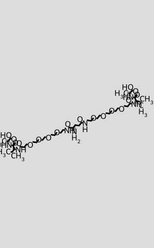 CC(C)[C@H](NC(=O)CCOCCOCCOCCOCCNC(=O)CC[C@H](N)C(=O)NCCOCCOCCOCCOCCC(=O)N[C@H](C(=O)N[C@@H](C)C(=O)O)C(C)C)C(=O)N[C@@H](C)C(=O)O